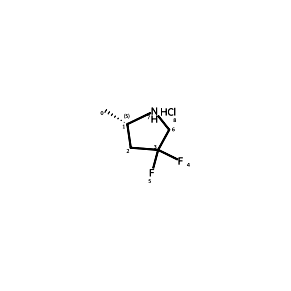 C[C@H]1CC(F)(F)CN1.Cl